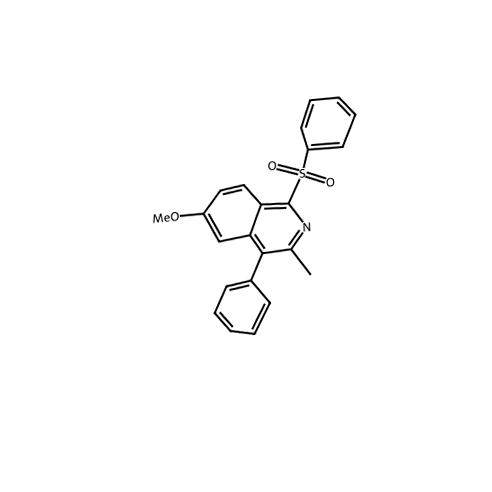 COc1ccc2c(S(=O)(=O)c3ccccc3)nc(C)c(-c3ccccc3)c2c1